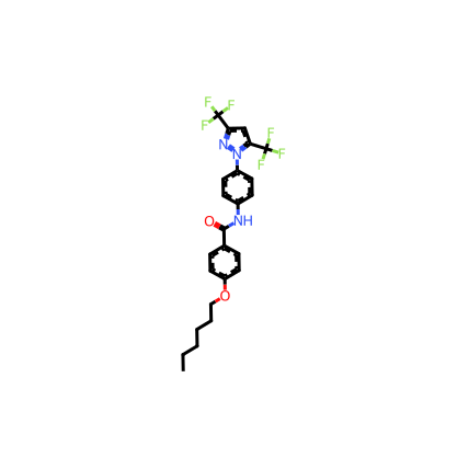 CCCCCCOc1ccc(C(=O)Nc2ccc(-n3nc(C(F)(F)F)cc3C(F)(F)F)cc2)cc1